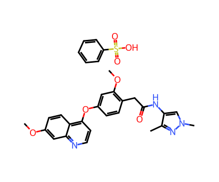 COc1ccc2c(Oc3ccc(CC(=O)Nc4cn(C)nc4C)c(OC)c3)ccnc2c1.O=S(=O)(O)c1ccccc1